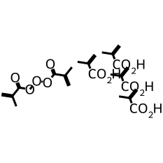 C=C(C)C(=O)O.C=C(C)C(=O)O.C=C(C)C(=O)O.C=C(C)C(=O)O.C=C(C)C(=O)OOOC(=O)C(=C)C